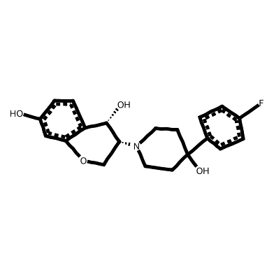 Oc1ccc2c(c1)OC[C@@H](N1CCC(O)(c3ccc(F)cc3)CC1)[C@H]2O